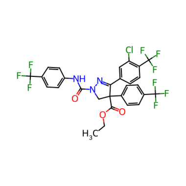 CCOC(=O)C1(c2ccc(C(F)(F)F)cc2)CN(C(=O)Nc2ccc(C(F)(F)F)cc2)N=C1c1ccc(C(F)(F)F)c(Cl)c1